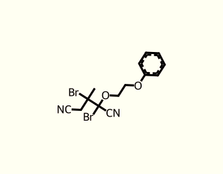 CC(Br)(CC#N)C(Br)(C#N)OCCOc1ccccc1